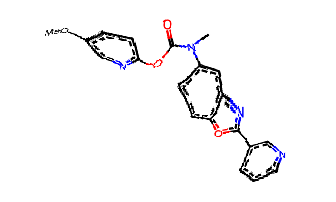 COc1ccc(OC(=O)N(C)c2ccc3oc(-c4cccnc4)nc3c2)nc1